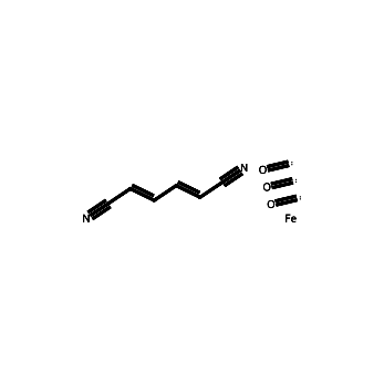 N#CC=CC=CC#N.[C]=O.[C]=O.[C]=O.[Fe]